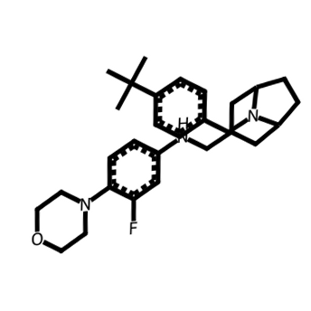 CC(C)(C)c1ccc(CN2C3CCC2CC(CNc2ccc(N4CCOCC4)c(F)c2)C3)cc1